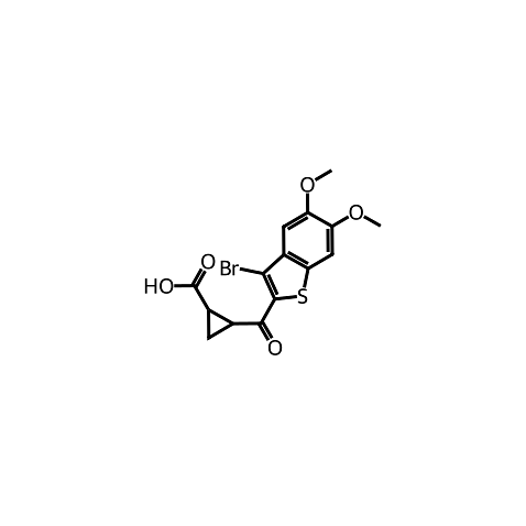 COc1cc2sc(C(=O)C3CC3C(=O)O)c(Br)c2cc1OC